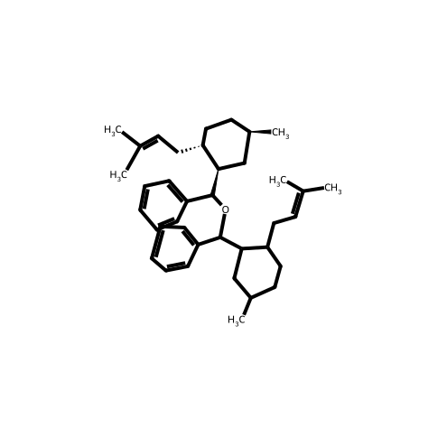 CC(C)=CCC1CCC(C)CC1C(OC(c1ccccc1)[C@@H]1C[C@H](C)CC[C@H]1CC=C(C)C)c1ccccc1